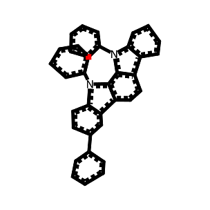 c1ccc(-c2ccc3c(c2)c2ccc4c5ccccc5n(-c5ccccc5)c4c2n3-c2ccccc2)cc1